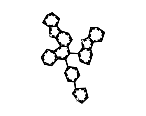 c1cncc(-c2ccc(-c3c(-c4cccc5c4sc4ccccc45)c4ccc5c6ccccc6sc5c4c4ccccc34)cc2)c1